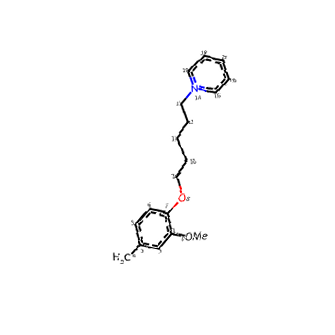 COc1cc(C)ccc1OCCCCC[n+]1ccccc1